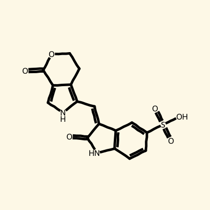 O=C1Nc2ccc(S(=O)(=O)O)cc2/C1=C/c1[nH]cc2c1CCOC2=O